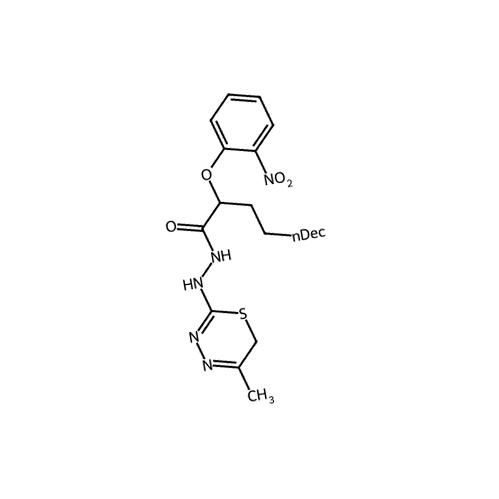 CCCCCCCCCCCCC(Oc1ccccc1[N+](=O)[O-])C(=O)NNC1=NN=C(C)CS1